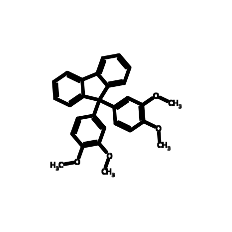 COc1ccc(C2(c3ccc(OC)c(OC)c3)c3ccccc3-c3ccccc32)cc1OC